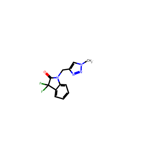 [CH2]n1cc(CN2C(=O)C(F)(F)c3ccccc32)nn1